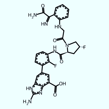 N=C(C(N)=O)c1ccccc1NCC(=O)N1C[C@H](F)C[C@H]1C(=O)Nc1cccc(-c2cc(C(=O)O)c3nc(N)[nH]c3c2)c1F